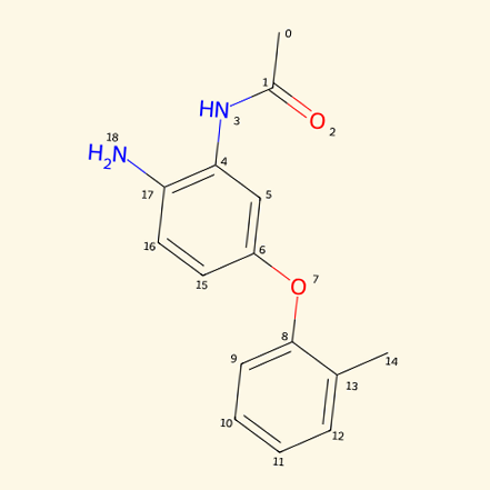 CC(=O)Nc1cc(Oc2ccccc2C)ccc1N